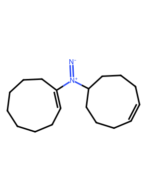 [N-]=[N+](C1=CCCCCCCC1)C1CCCC=CCCC1